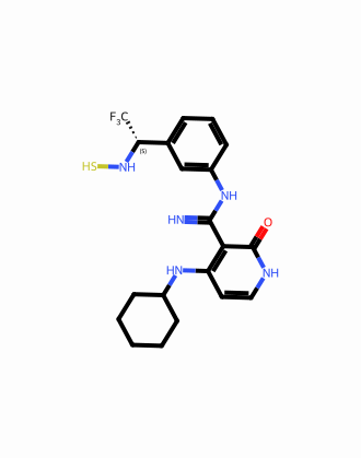 N=C(Nc1cccc([C@H](NS)C(F)(F)F)c1)c1c(NC2CCCCC2)cc[nH]c1=O